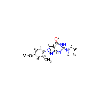 COc1ccc(-n2cc3c(=O)[nH]c(N4CCCC4)nc3n2)c(C)c1